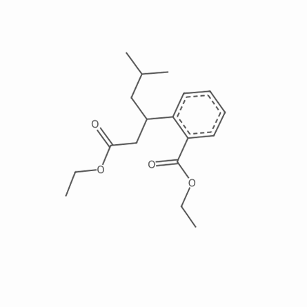 CCOC(=O)CC(CC(C)C)c1ccccc1C(=O)OCC